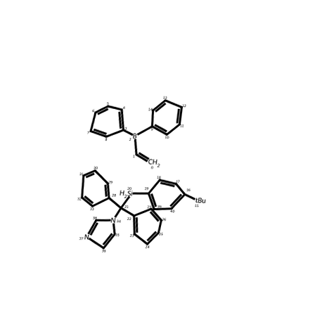 C=CB(c1ccccc1)c1ccccc1.CC(C)(C)c1ccc([SiH2]C(c2ccccc2)(c2ccccc2)n2ccnc2)cc1